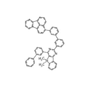 C[Si]1(C)c2ccccc2-c2nc(-c3cccc(-c4cccc(-c5ccc6c7c(cccc57)-c5ccccc5-6)c4)c3)nc(-c3cccc(-c4ccccc4)c3)c21